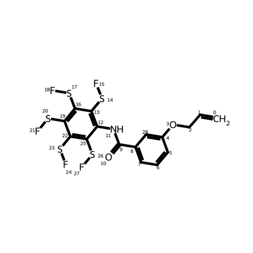 C=CCOc1cccc(C(=O)Nc2c(SF)c(SF)c(SF)c(SF)c2SF)c1